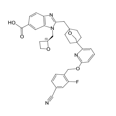 N#Cc1ccc(COc2cccc(C34CCC(Cc5nc6ccc(C(=O)O)cc6n5C[C@@H]5CCO5)(CC3)OC4)n2)c(F)c1